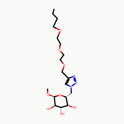 CCCCOCCOCCOCc1cn(C[C@H]2O[C@H](OC)[C@H](O)[C@@H](O)[C@@H]2O)nn1